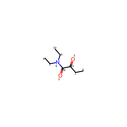 CCC(=O)C(=O)N(CC)CC